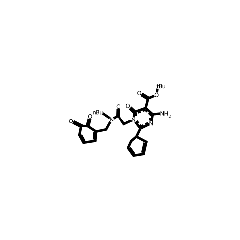 CCCCN(CC1=CC=CC(=O)C1=O)C(=O)Cn1c(C2C=CC=CC2)nc(N)c(C(=O)OC(C)(C)C)c1=O